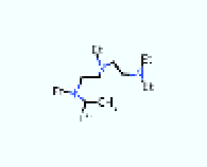 CCN(CC)CCN(CC)CCN(CC)C(C)C(C)C